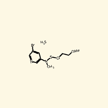 COCCOSN(C)c1cncc(Br)c1.S